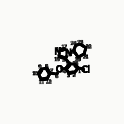 Clc1ccc(OCc2ccccc2)c(-c2cncn2C2CCCCC2)c1